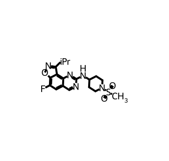 CC(C)c1noc2c(F)cc3cnc(NC4CCN(S(C)(=O)=O)CC4)nc3c12